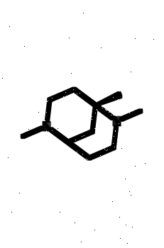 CN1CC[C@@]2(C)CC1CCN2C